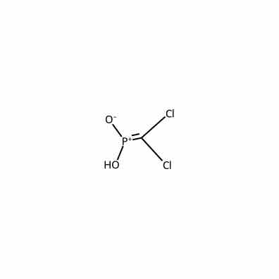 [O-][P+](O)=C(Cl)Cl